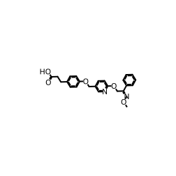 CO/N=C(\COc1ccc(COc2ccc(CCC(=O)O)cc2)cn1)c1ccccc1